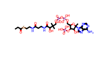 CCC(=O)SCCNC(=O)CCNC(=O)C(O)C(C)(C)COP(=O)(O)OP(=O)(O)OCC1OC(C)(n2cnc3c(N)ncnc32)C(O)C1OP(=O)(O)O